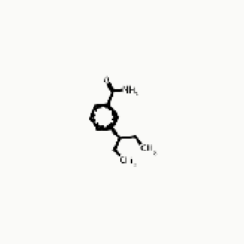 CCC(CC)c1cccc(C(N)=O)c1